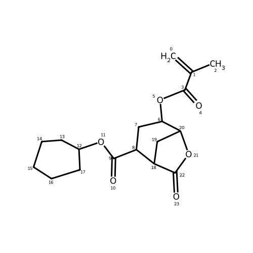 C=C(C)C(=O)OC1CC(C(=O)OC2CCCCC2)C2CC1OC2=O